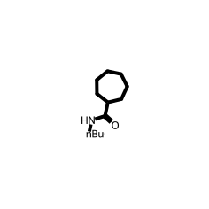 CCC[CH]NC(=O)C1CCCCCC1